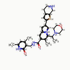 Cc1cc(C)c(CNC(=O)c2cc3cc(-c4cc5c(s4)CNCC5)cn3c(C(C)N3CCOCC3)c2C)c(=O)[nH]1